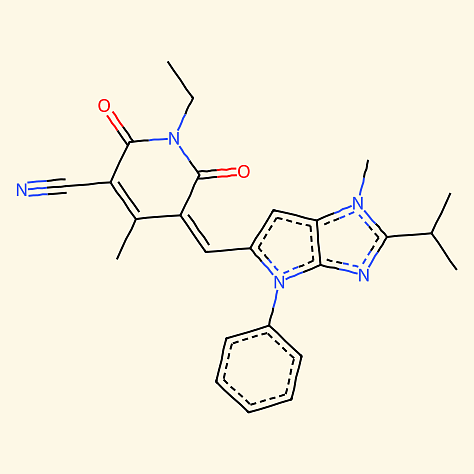 CCN1C(=O)C(C#N)=C(C)/C(=C/c2cc3c(nc(C(C)C)n3C)n2-c2ccccc2)C1=O